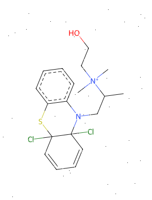 CC(CN1c2ccccc2SC2(Cl)C=CC=CC12Cl)[N+](C)(C)CCO